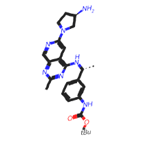 Cc1nc(N[C@H](C)c2cccc(NC(=O)OC(C)(C)C)c2)c2cc(N3CC[C@@H](N)C3)ncc2n1